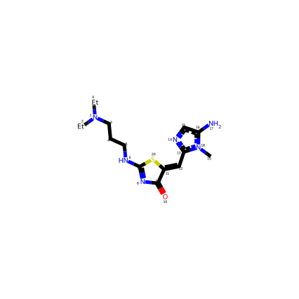 CCN(CC)CCCNC1=NC(=O)/C(=C/c2ncc(N)n2C)S1